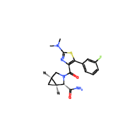 CN(C)c1nc(C(=O)N2C[C@@H]3C[C@@H]3[C@H]2C(N)=O)c(-c2cccc(F)c2)s1